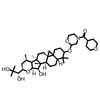 C[C@@H]1C[C@H]([C@H](O)C(C)(C)O)O[C@H]2C1[C@@]1(C)CC[C@@]34CC35CCC(OC3CN(C(=O)C6CCOCC6)CCO3)C(C)(C)[C@@H]5CC[C@H]4[C@]1(C)[C@H]2O